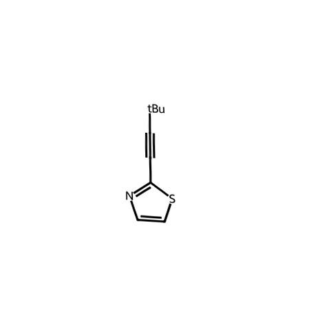 CC(C)(C)C#Cc1nccs1